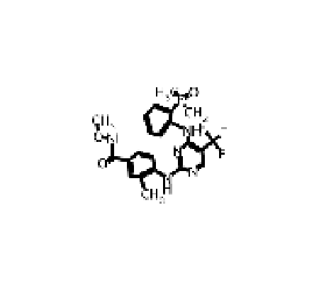 CONC(=O)c1ccc(Nc2ncc(C(F)(F)F)c(Nc3ccccc3P(C)(C)=O)n2)c(C)c1